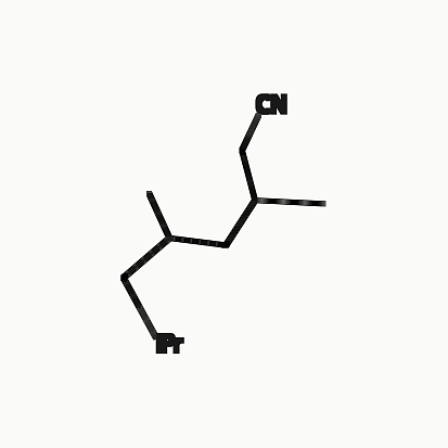 CC(C)CC(C)CC(C)CC#N